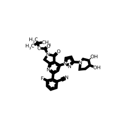 CC(C)(C)OC(=O)N1Cc2nc(-c3c(F)cccc3C#N)cc(-n3ccc(N4CCC(O)[C@@H](O)C4)n3)c2C1=O